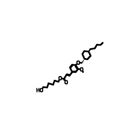 CCCCC[C@H]1CC[C@H](COc2ccc(/C=C/C(=O)OCCCCCCO)cc2OC)CC1